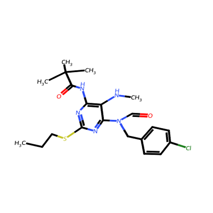 CCCSc1nc(NC(=O)C(C)(C)C)c(NC)c(N(C=O)Cc2ccc(Cl)cc2)n1